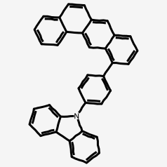 c1cc(-c2ccc(-n3c4ccccc4c4ccccc43)cc2)c2cc3c(ccc4ccccc43)cc2c1